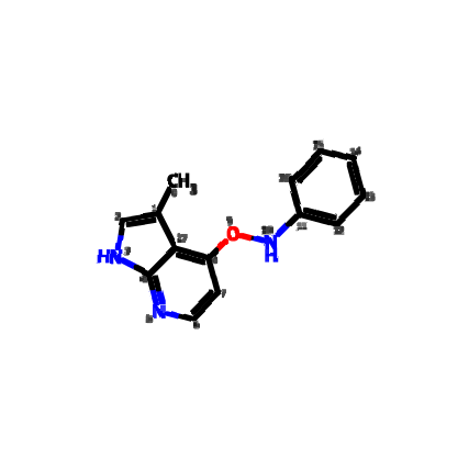 Cc1c[nH]c2nccc(ONc3ccccc3)c12